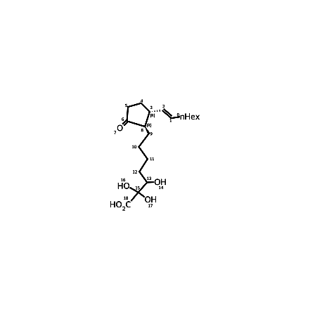 CCCCCCC=C[C@H]1CCC(=O)[C@@H]1CCCCC(O)C(O)(O)C(=O)O